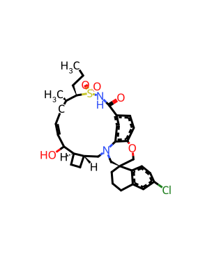 CCC[C@@H]1[C@H](C)C/C=C\C(O)[C@@H]2CC[C@H]2CN2C[C@@]3(CCCc4cc(Cl)ccc43)COc3ccc(cc32)C(=O)NS1(=O)=O